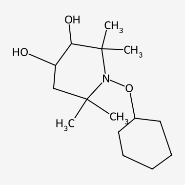 CC1(C)CC(O)C(O)C(C)(C)N1OC1CCCCC1